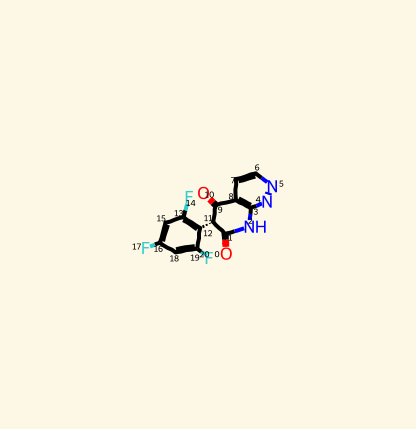 O=C1Nc2nnccc2C(=O)[C@H]1c1c(F)cc(F)cc1F